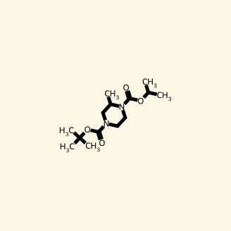 CC(C)OC(=O)N1CCN(C(=O)OC(C)(C)C)CC1C